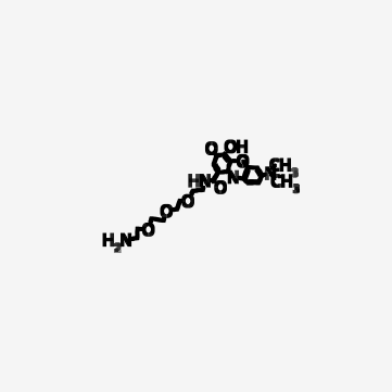 CN(C)c1ccc2nc3c(C(=O)NCCOCCOCCOCCN)cc(=O)c(O)c-3oc2c1